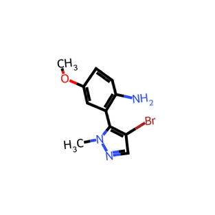 COc1ccc(N)c(-c2c(Br)cnn2C)c1